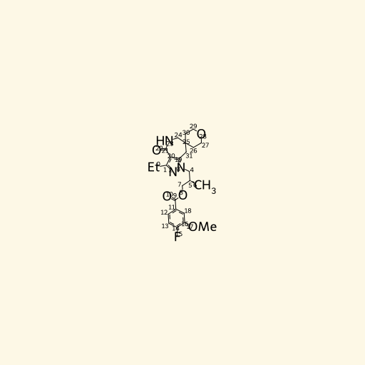 CCc1nn(C[C@@H](C)COC(=O)c2ccc(F)c(OC)c2)c2c1C(=O)NCC1(CCOCC1)C2